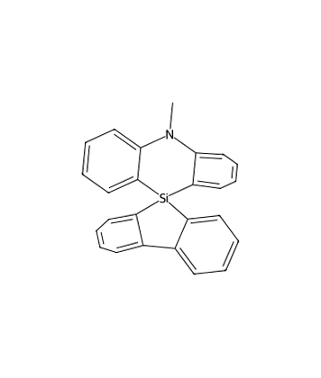 CN1c2ccccc2[Si]2(c3ccccc3-c3ccccc32)c2ccccc21